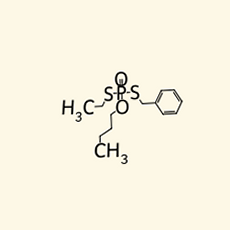 CCCCOP(=O)(SCC)SCc1ccccc1